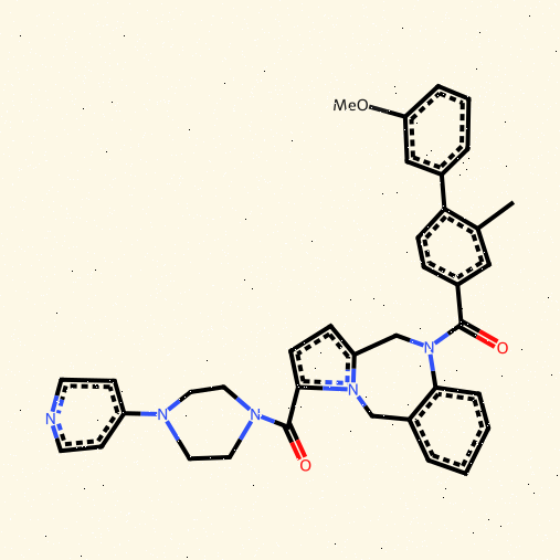 COc1cccc(-c2ccc(C(=O)N3Cc4ccc(C(=O)N5CCN(c6ccncc6)CC5)n4Cc4ccccc43)cc2C)c1